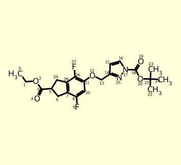 CCOC(=O)C1Cc2c(F)cc(OCc3ccn(C(=O)OC(C)(C)C)n3)c(F)c2C1